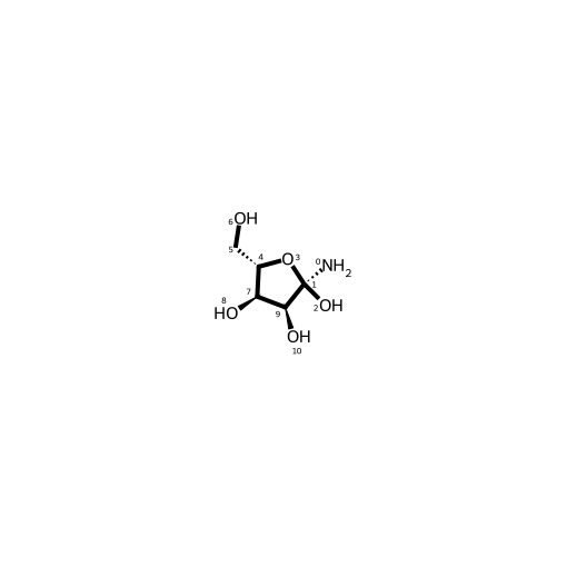 N[C@@]1(O)O[C@@H](CO)[C@H](O)[C@@H]1O